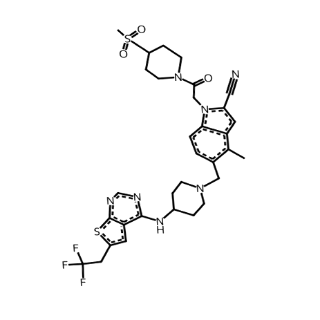 Cc1c(CN2CCC(Nc3ncnc4sc(CC(F)(F)F)cc34)CC2)ccc2c1cc(C#N)n2CC(=O)N1CCC(S(C)(=O)=O)CC1